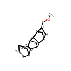 COCC1CC2CC1C1C3CC(C4C5CCC(C5)C34)C21